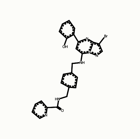 O=C(NCc1ccc(CNc2cc(-c3ccccc3O)nc3c(Br)cnn23)cc1)c1ccccn1